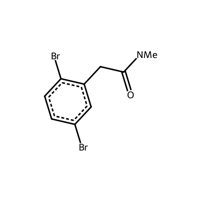 CNC(=O)Cc1cc(Br)ccc1Br